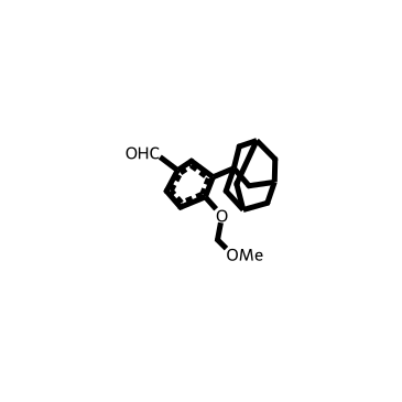 COCOc1ccc(C=O)cc1C12CC3CC(CC(C3)C1)C2